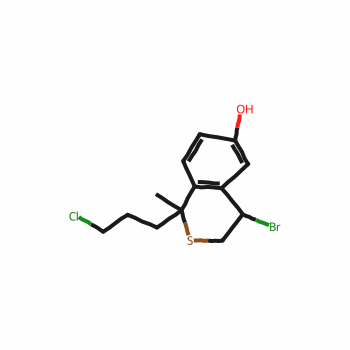 CC1(CCCCl)SCC(Br)c2cc(O)ccc21